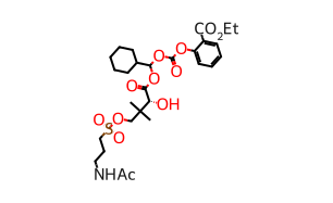 CCOC(=O)c1ccccc1OC(=O)OC(OC(=O)[C@H](O)C(C)(C)COS(=O)(=O)CCCNC(C)=O)C1CCCCC1